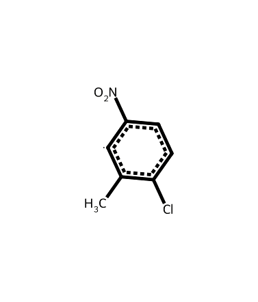 Cc1[c]c([N+](=O)[O-])ccc1Cl